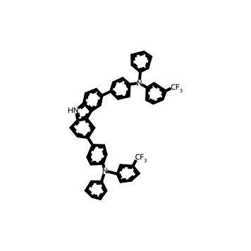 FC(F)(F)c1cccc(N(c2ccccc2)c2ccc(-c3ccc4[nH]c5ccc(-c6ccc(N(c7ccccc7)c7cccc(C(F)(F)F)c7)cc6)cc5c4c3)cc2)c1